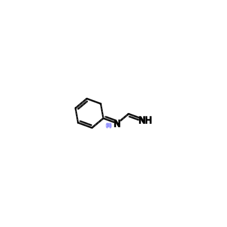 N=C/N=C1/C=CC=CC1